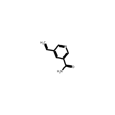 C=Cc1cncc(C(N)=O)c1